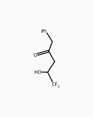 CC(C)CC(=O)CC(O)C(F)(F)F